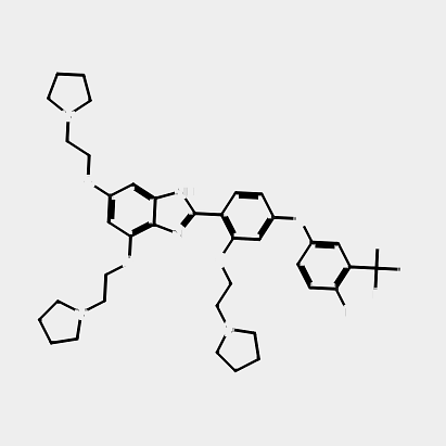 Fc1ccc(Oc2ccc(-c3nc4c(OCCN5CCCC5)cc(OCCN5CCCC5)cc4[nH]3)c(OCCN3CCCC3)c2)cc1C(F)(F)F